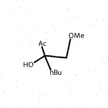 CCCCC(O)(COC)C(C)=O